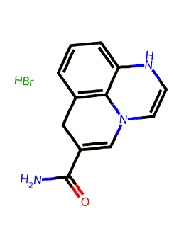 Br.NC(=O)C1=CN2C=CNc3cccc(c32)C1